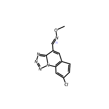 CO/N=C/c1cc2ccc(Cl)cc2n2nnnc12